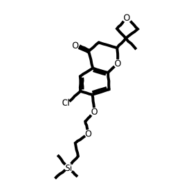 CC1(C2CC(=O)c3cc(Cl)c(OCOCC[Si](C)(C)C)cc3O2)COC1